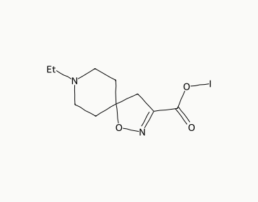 CCN1CCC2(CC1)CC(C(=O)OI)=NO2